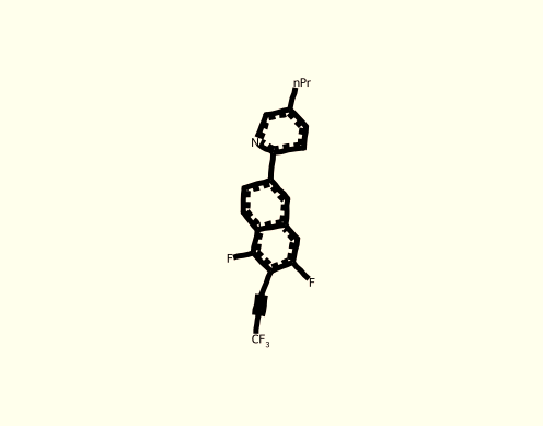 CCCc1ccc(-c2ccc3c(F)c(C#CC(F)(F)F)c(F)cc3c2)nc1